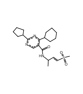 CC(/C=C/S(C)(=O)=O)NC(=O)c1cnc(C2CCCC2)nc1C1CCCCC1